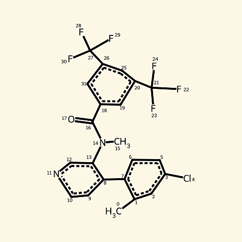 Cc1cc(Cl)ccc1-c1ccncc1N(C)C(=O)c1cc(C(F)(F)F)cc(C(F)(F)F)c1